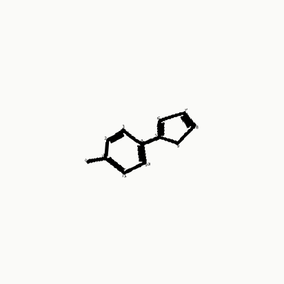 Cc1ccc(C2=CC=CC2)cc1